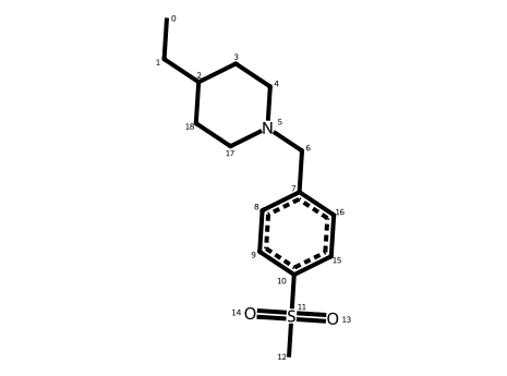 CCC1CCN(Cc2ccc(S(C)(=O)=O)cc2)CC1